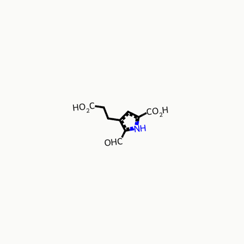 O=Cc1[nH]c(C(=O)O)cc1CCC(=O)O